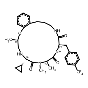 C[C@@H]1CN[C@@H](C2CC2)C(=O)N(C)[C@H](C)C(=O)N[C@H](Cc2ccc(C(F)(F)F)cc2)C(=O)NCCCc2ccccc2O1